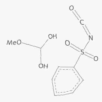 COC(O)O.O=C=NS(=O)(=O)c1ccccc1